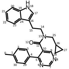 Cc1ccc(-c2ncncc2C(=O)N(CCc2c[nH]c3ccccc23)CC2CC2)cc1